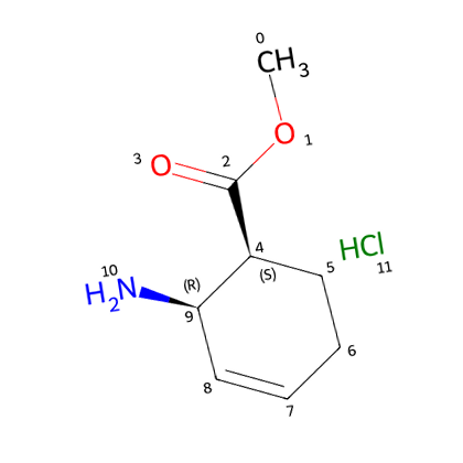 COC(=O)[C@H]1CCC=C[C@H]1N.Cl